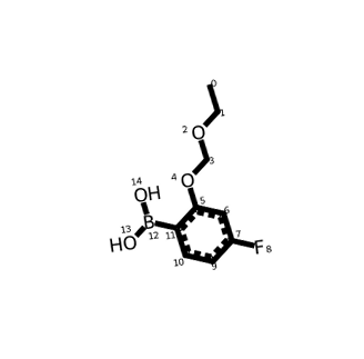 CCOCOc1cc(F)ccc1B(O)O